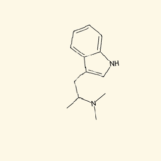 CC(Cc1c[nH]c2ccccc12)N(C)C